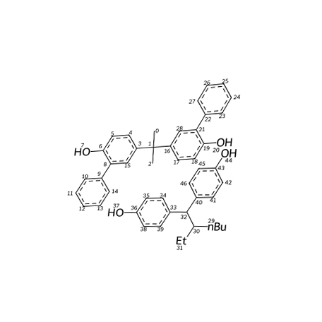 CC(C)(c1ccc(O)c(-c2ccccc2)c1)c1ccc(O)c(-c2ccccc2)c1.CCCCC(CC)C(c1ccc(O)cc1)c1ccc(O)cc1